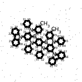 Cc1ccc2c(c1)N(c1ccccc1)c1cc(-n3c4ccccc4c4ccccc43)cc3c1B2c1cc2c(cc1N3c1ccccc1)N(c1ccccc1)c1cc(-n3c4ccccc4c4ccccc43)cc3c1B2c1ccc(C)cc1N3c1ccccc1